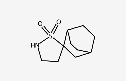 O=S1(=O)NCCC12CC1CCC2CC1